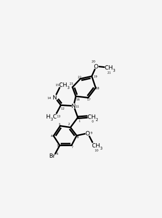 C=C(c1ccc(Br)cc1OC)N(/C(C)=N\C)c1ccc(OC)cc1